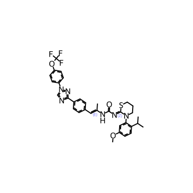 COc1ccc(C(C)C)c(N2CCCS/C2=N\C(=O)N/C(C)=C/c2ccc(-c3ncn(-c4ccc(OC(F)(F)F)cc4)n3)cc2)c1